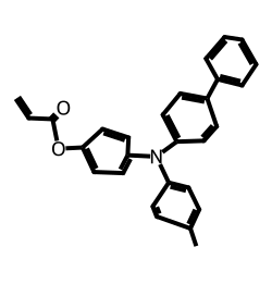 C=CC(=O)Oc1ccc(N(c2ccc(C)cc2)c2ccc(-c3ccccc3)cc2)cc1